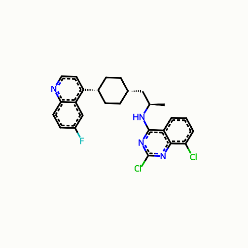 C[C@H](C[C@H]1CC[C@@H](c2ccnc3ccc(F)cc32)CC1)Nc1nc(Cl)nc2c(Cl)cccc12